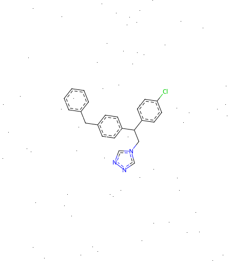 Clc1ccc(C(Cn2cnnc2)c2ccc(Cc3ccccc3)cc2)cc1